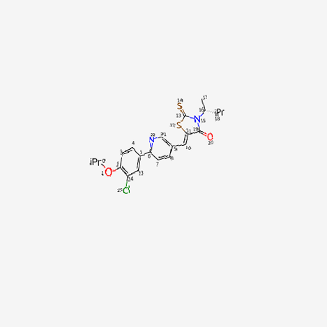 CC(C)Oc1ccc(-c2ccc(/C=C3\SC(=S)N([C@H](C)C(C)C)C3=O)cn2)cc1Cl